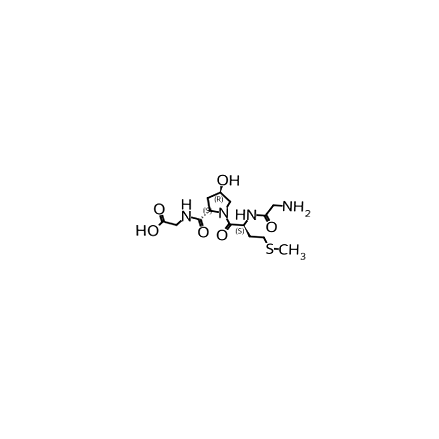 CSCC[C@H](NC(=O)CN)C(=O)N1C[C@H](O)C[C@H]1C(=O)NCC(=O)O